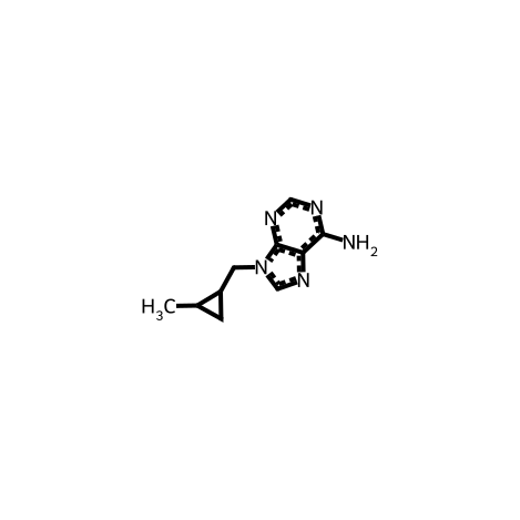 CC1CC1Cn1cnc2c(N)ncnc21